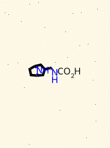 O=C(O)NCC1CC2CCC(C1)N2